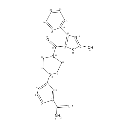 NC(=O)c1cccc(N2CCN(C(=O)c3sc(O)nc3-c3ccccc3)CC2)c1